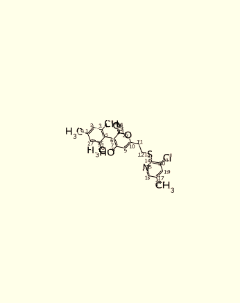 Cc1cc(C)c(-c2c(O)cc(CCSc3ncc(C)cc3Cl)oc2=O)c(C)c1